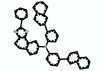 c1ccc(-c2nc3ccc4ccc(N(c5cccc(-c6ccc7ccccc7c6)c5)c5cccc(-c6ccc7ccccc7c6)c5)cc4c3o2)cc1